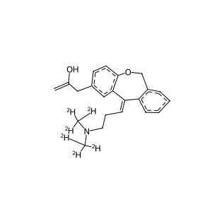 [2H]C([2H])([2H])N(CC/C=C1/c2ccccc2COc2ccc(CC(=C)O)cc21)C([2H])([2H])[2H]